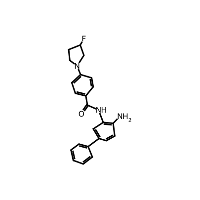 Nc1ccc(-c2ccccc2)cc1NC(=O)c1ccc(N2CCC(F)C2)cc1